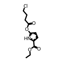 CCOC(=O)c1ccc(OC(=O)CCCCl)[nH]1